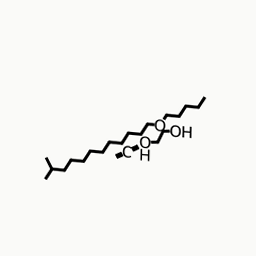 C=C=C.CCCCCOCCCCCCCCCCC(C)C.OCCO